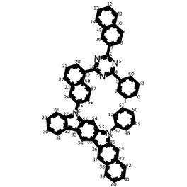 c1ccc(-c2nc(-c3ccc4ccccc4c3)nc(-c3cccc4cc(-n5c6ccccc6c6cc7c8cc9ccccc9cc8n(-c8ccccc8)c7cc65)ccc34)n2)cc1